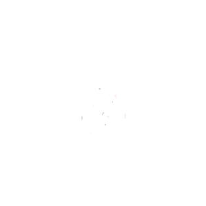 Cl.Cl.O=[PH](O)Oc1ccccc1